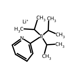 CC(C)[B-](c1ccccn1)(C(C)C)C(C)C.[Li+]